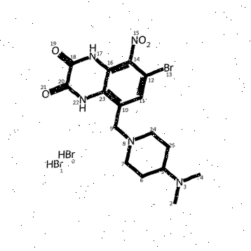 Br.Br.CN(C)C1CCN(Cc2cc(Br)c([N+](=O)[O-])c3[nH]c(=O)c(=O)[nH]c23)CC1